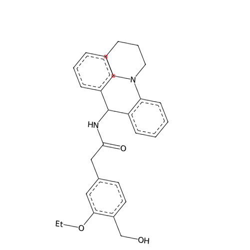 CCOc1cc(CC(=O)NC(c2ccccc2)c2ccccc2N2CCCCC2)ccc1CO